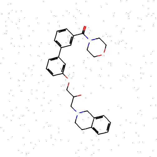 O=C(c1cccc(-c2cccc(OCC(O)CN3CCc4ccccc4C3)c2)c1)N1CCOCC1